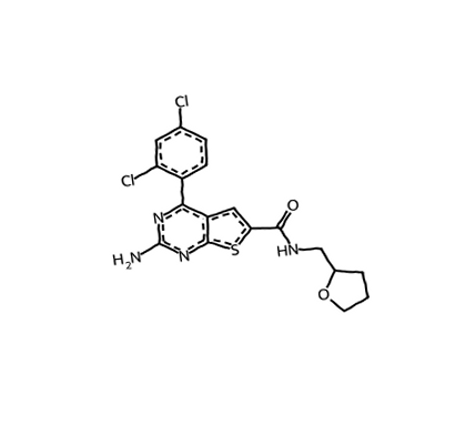 Nc1nc(-c2ccc(Cl)cc2Cl)c2cc(C(=O)NCC3CCCO3)sc2n1